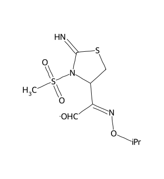 CC(C)ON=C([C]=O)C1CSC(=N)N1S(C)(=O)=O